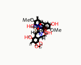 COc1cc2c(cc1O)CCN[C@]21CS[C@@H]2c3c(O)c(C)c4c(c3[C@H](COC1=O)N1[C@@H]2[C@@H]2c3c(cc(C)c(OC)c3O)C[C@@H]([C@@H]1O)N2C)OCO4